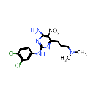 CN(C)CCCc1nc(Nc2ccc(Cl)c(Cl)c2)nc(N)c1[N+](=O)[O-]